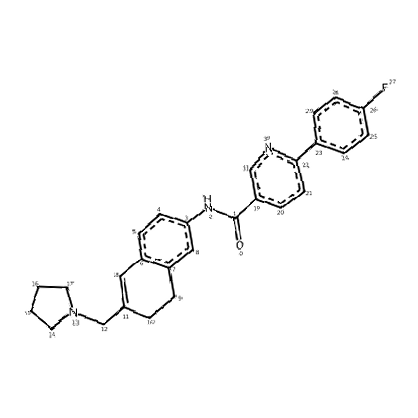 O=C(Nc1ccc2c(c1)CCC(CN1CCCC1)=C2)c1ccc(-c2ccc(F)cc2)nc1